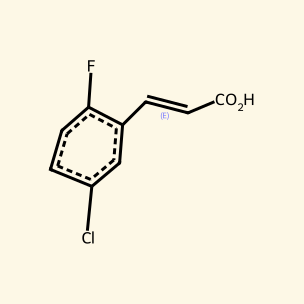 O=C(O)/C=C/c1cc(Cl)ccc1F